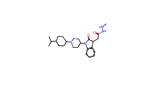 CNNC(=O)CC1C(=O)N(C2CCN(C3CCC(C(C)C)CC3)CC2)c2ccccc21